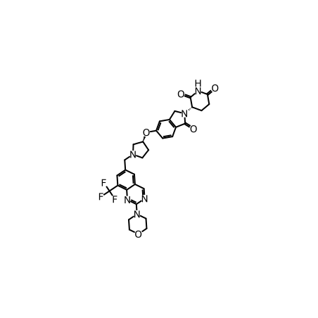 O=C1CC[C@H](N2Cc3cc(O[C@H]4CCN(Cc5cc(C(F)(F)F)c6nc(N7CCOCC7)ncc6c5)C4)ccc3C2=O)C(=O)N1